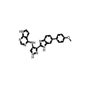 COc1ccc(-c2ccc3nc(-c4n[nH]cc4Nc4ncnc5[nH]ccc45)[nH]c3c2)cc1